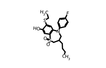 CCCCC1CN(c2ccc(F)cc2)c2cc(SCC)c(O)cc2S(=O)(=O)C1